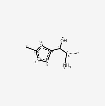 Cc1nnc(C(O)[C@H](C)N)o1